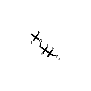 CC(F)(F)OCC(F)(F)C(F)(F)C(F)(F)F